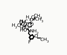 CCCOc1cc(F)cc(CC(N)C(O)[C@H]2CO[C@@H](OCC(C)(C)C)[C@H](C)N2C(=O)OC(C)(C)C)c1